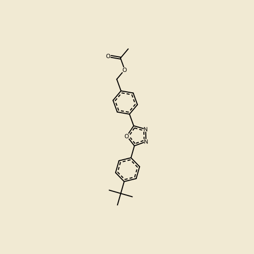 CC(=O)OCc1ccc(-c2nnc(-c3ccc(C(C)(C)C)cc3)o2)cc1